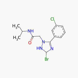 CC(C)NC(=O)CN1NC(Br)N=C1c1cccc(Cl)c1